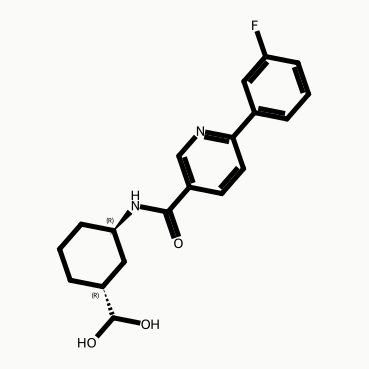 O=C(N[C@@H]1CCC[C@@H](C(O)O)C1)c1ccc(-c2cccc(F)c2)nc1